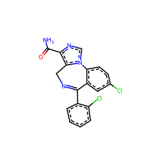 NC(=O)c1ncn2c1CN=C(c1ccccc1Cl)c1cc(Cl)ccc1-2